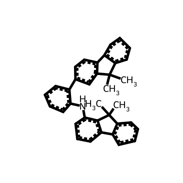 CC1(C)c2ccccc2-c2ccc(-c3ccccc3Nc3cccc4c3C(C)(C)c3ccccc3-4)cc21